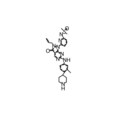 C=CCn1c(=O)c2cnc(Nc3ccc(C4CCNCC4)c(C)c3)nc2n1-c1cccc(N=S(C)(C)=O)n1